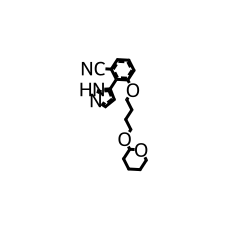 N#Cc1cccc(OCCCCOC2CCCCO2)c1-c1ccn[nH]1